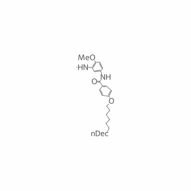 CCCCCCCCCCCCCCCCOc1ccc(C(=O)Nc2ccc(OC)c([NH])c2)cc1